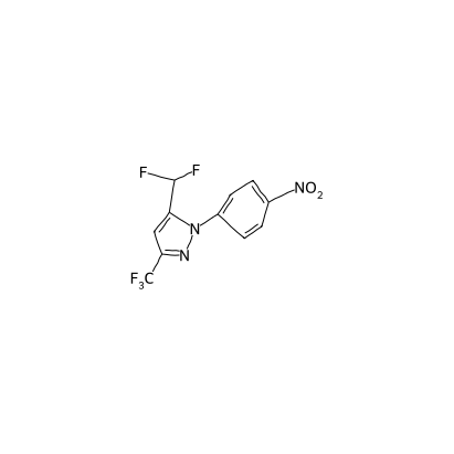 O=[N+]([O-])c1ccc(-n2nc(C(F)(F)F)cc2C(F)F)cc1